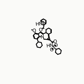 COc1ccc(C2CCCCC2)c2c1cc1n2CC2=C(C(=O)NS(=O)(=O)C3CCCCC3)C2=C2C=CC[C@@H](C(=O)N3CC4CCC3CN4)C21